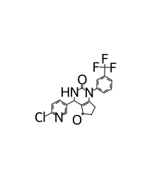 O=C1CCC2=C1C(c1ccc(Cl)nc1)NC(=O)N2c1cccc(C(F)(F)F)c1